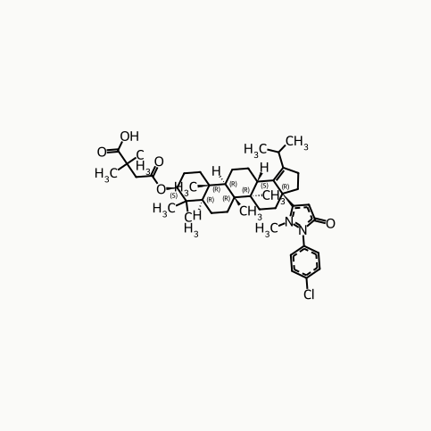 CC(C)C1=C2[C@H]3CC[C@@H]4[C@@]5(C)CC[C@H](OC(=O)CC(C)(C)C(=O)O)C(C)(C)[C@@H]5CC[C@@]4(C)[C@]3(C)CC[C@@]2(c2cc(=O)n(-c3ccc(Cl)cc3)n2C)CC1